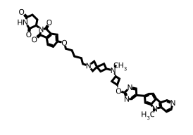 Cn1c2ccncc2c2ccc(-c3cnc(O[C@H]4C[C@H](N(C)C5CC6(C5)CN(CCCCCOc5ccc7c(c5)C(=O)N(C5CCC(=O)NC5=O)C7=O)C6)C4)nc3)cc21